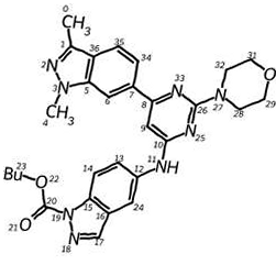 Cc1nn(C)c2cc(-c3cc(Nc4ccc5c(cnn5C(=O)OC(C)(C)C)c4)nc(N4CCOCC4)n3)ccc12